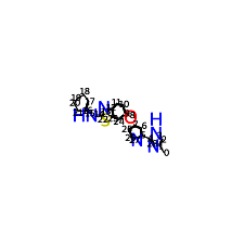 Cc1c[nH]c(-c2cc(Oc3ccc4nc(NC5=CCCCC5)sc4c3)ccn2)n1